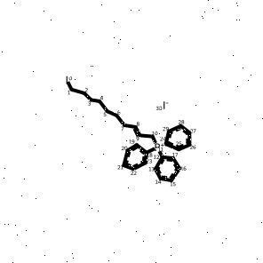 ICCCCCCCC=CC[P+](c1ccccc1)(c1ccccc1)c1ccccc1.[I-]